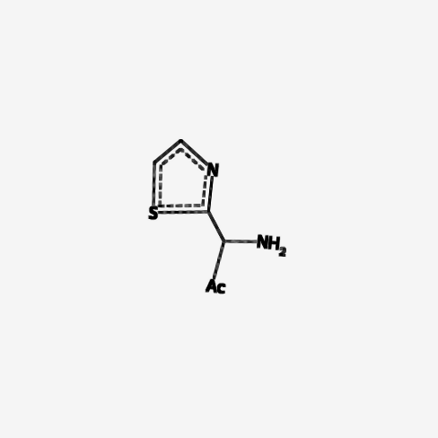 CC(=O)C(N)c1nccs1